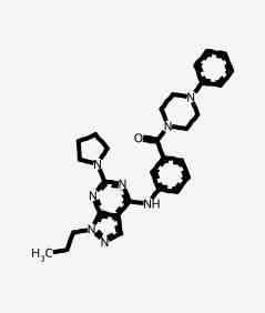 CCCn1ncc2c(Nc3cccc(C(=O)N4CCN(c5ccccc5)CC4)c3)nc(N3CCCC3)nc21